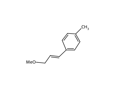 [CH2]OCC=Cc1ccc(C)cc1